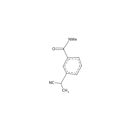 CNC(=O)c1cccc(C(C)C#N)c1